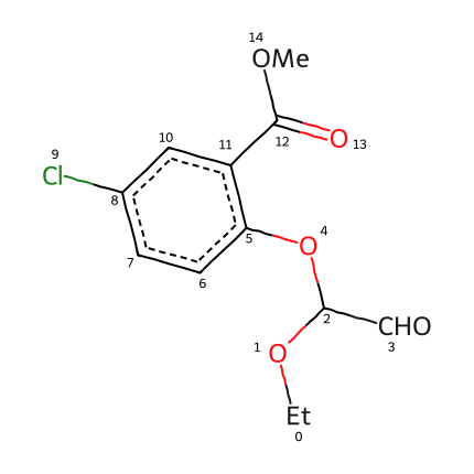 CCOC(C=O)Oc1ccc(Cl)cc1C(=O)OC